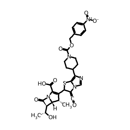 C[C@@H](O)[C@H]1C(=O)N2C(C(=O)O)=C(C3Sc4c(C5CCN(C(=O)OCc6ccc([N+](=O)[O-])cc6)CC5)ncn4C3=C=O)[C@H](C)[C@H]12